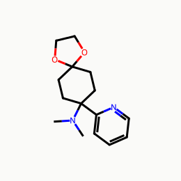 CN(C)C1(c2ccccn2)CCC2(CC1)OCCO2